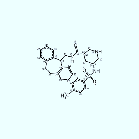 Cc1ccc(S(=O)(=O)N[C@H]2CNC[C@@H](C(=O)NCC3C4=C(CCC=C4)CCc4ccccc43)C2)cc1